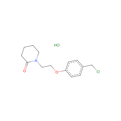 Cl.O=C1CCCCN1CCOc1ccc(CCl)cc1